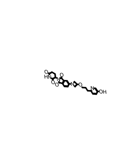 O=C1CCC(N2C(=O)c3ccc(N4CC(OCCCc5ccc(O)cn5)C4)cc3C2=O)C(=O)N1